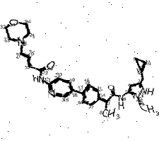 CC(C(=O)Nc1cc(C2CC2)[nH][n+]1C)c1ccc(-c2ccc(NC(=O)/C=C/CN3CCOCC3)nc2)cc1